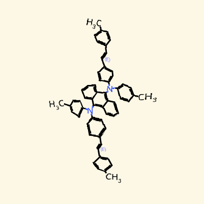 Cc1ccc(/C=C/c2ccc(N(c3ccc(C)cc3)c3c4ccccc4c(N(c4ccc(C)cc4)c4ccc(/C=C/c5ccc(C)cc5)cc4)c4ccccc34)cc2)cc1